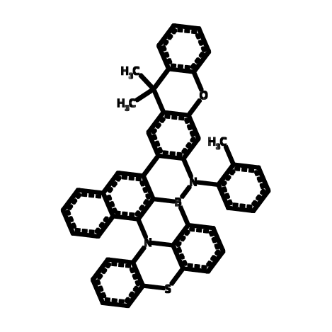 Cc1ccccc1N1B2c3cccc4c3N(c3ccccc3S4)c3c2c(cc2ccccc32)-c2cc3c(cc21)Oc1ccccc1C3(C)C